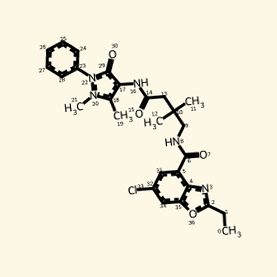 CCc1nc2c(C(=O)NCC(C)(C)CC(=O)Nc3c(C)n(C)n(-c4ccccc4)c3=O)cc(Cl)cc2o1